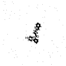 O=C(Nc1ccccc1N1CCNCC1)c1csc(-n2cc3ccccc3n2)n1